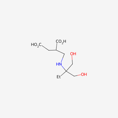 CCC(CO)(CO)NCC(CC(=O)O)C(=O)O